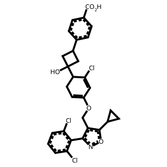 O=C(O)c1ccc(C2CC(O)(C3CC=C(OCc4c(-c5c(Cl)cccc5Cl)noc4C4CC4)C=C3Cl)C2)cc1